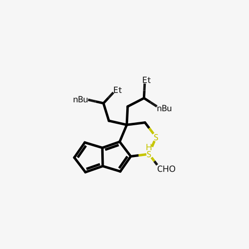 CCCCC(CC)CC1(CC(CC)CCCC)CS[SH](C=O)C2=CC3=CC=CC3=C21